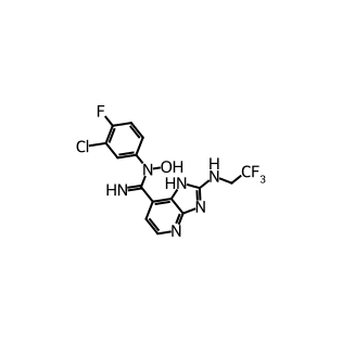 N=C(c1ccnc2nc(NCC(F)(F)F)[nH]c12)N(O)c1ccc(F)c(Cl)c1